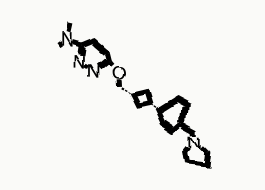 CN(C)c1ccc(OC[C@H]2C[C@@H](c3ccc(CN4CCCC4)cc3)C2)nn1